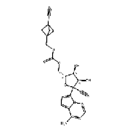 N#CC12CC(COC(=O)OC[C@H]3OC(C#N)(c4ccc5c(N)ncnn45)[C@H](O)[C@@H]3O)(C1)C2